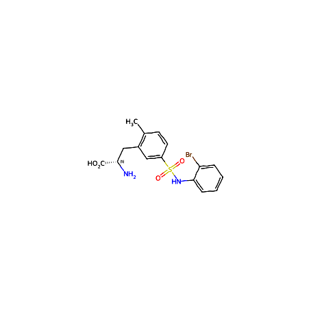 Cc1ccc(S(=O)(=O)Nc2ccccc2Br)cc1C[C@H](N)C(=O)O